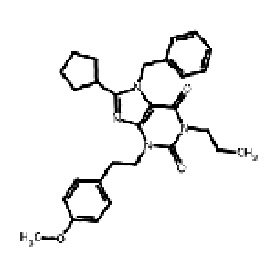 CCCn1c(=O)c2c(nc(C3CCCC3)n2Cc2ccccc2)n(CCc2ccc(OC)cc2)c1=O